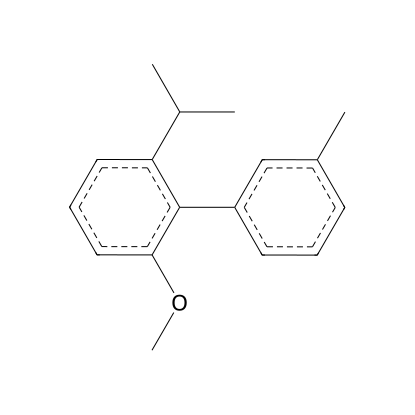 COc1cccc(C(C)C)c1-c1cccc(C)c1